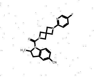 CC1Cc2cc(C#N)ccc2N1C(=O)N1CC2(C1)CN(c1ccc(F)cn1)C2